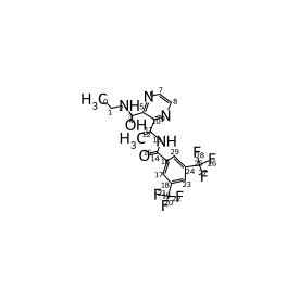 CCNC(O)c1nccnc1C(C)NC(=O)c1cc(C(F)(F)F)cc(C(F)(F)F)c1